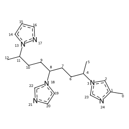 Cc1cn(C(C)CCC(CCC(C)n2cccn2)n2ccnc2)cn1